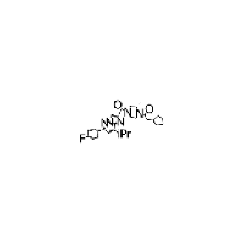 CC(C)c1cc(-c2ccc(F)cc2)nn2cc(C(=O)N3CCN(C(=O)CC4CCCC4)[C@@H](C)C3)nc12